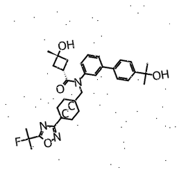 CC(C)(O)c1ccc(-c2cccc(N(CC34CCC(c5noc(C(C)(C)F)n5)(CC3)CC4)C(=O)[C@H]3C[C@@](C)(O)C3)c2)cc1